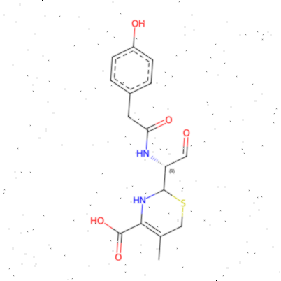 CC1=C(C(=O)O)NC([C@@H](C=O)NC(=O)Cc2ccc(O)cc2)SC1